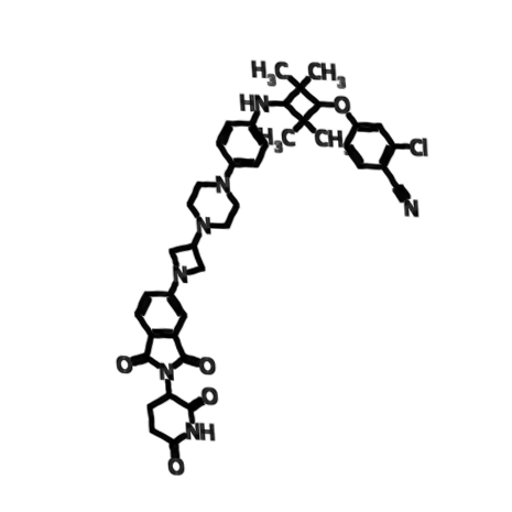 CC1(C)C(Nc2ccc(N3CCN(C4CN(c5ccc6c(c5)C(=O)N(C5CCC(=O)NC5=O)C6=O)C4)CC3)cc2)C(C)(C)C1Oc1ccc(C#N)c(Cl)c1